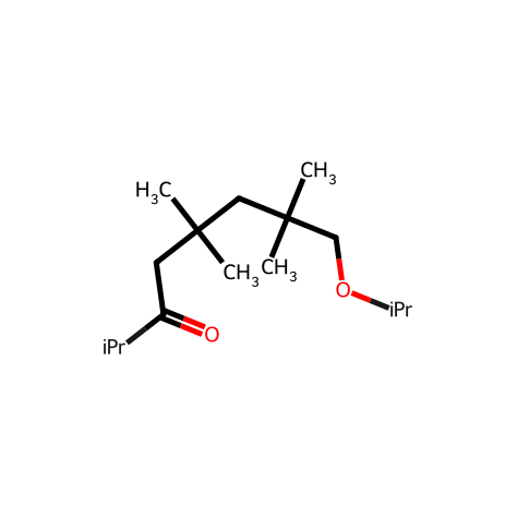 CC(C)OCC(C)(C)CC(C)(C)CC(=O)C(C)C